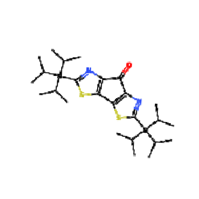 CC(C)[Si](c1nc2c(s1)-c1sc([Si](C(C)C)(C(C)C)C(C)C)nc1C2=O)(C(C)C)C(C)C